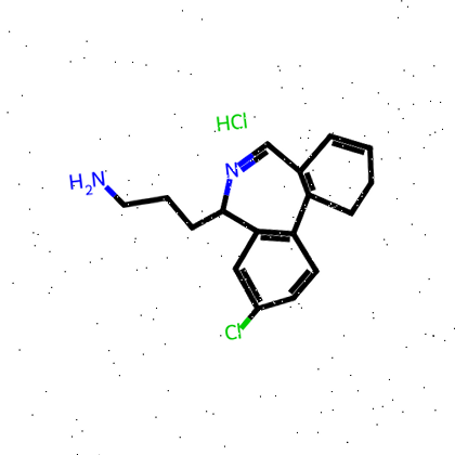 Cl.NCCCC1N=CC2=C(CCC=C2)c2ccc(Cl)cc21